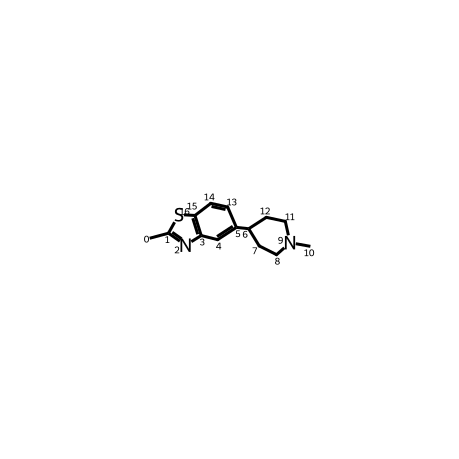 Cc1nc2cc(C3CCN(C)CC3)ccc2s1